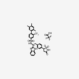 Cc1cc(C)c(-c2ccc(S(=O)(=O)N[C@@H](Cc3ccc(C4CC(=O)NS4(=O)=O)cc3)c3nc4ccccc4[nH]3)cc2C(F)(F)F)cc1C.O=C(O)C(F)(F)F